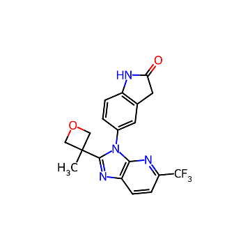 CC1(c2nc3ccc(C(F)(F)F)nc3n2-c2ccc3c(c2)CC(=O)N3)COC1